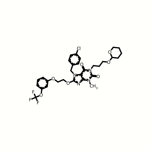 Cn1c(=O)n(CCCOC2CCCCO2)c(=O)c2c1nc(OCCOc1cccc(OC(F)(F)F)c1)n2Cc1ccc(Cl)cc1